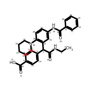 CCNC(=O)C(c1ccc(C(=O)O)cc1)c1cc(NC(=O)c2ccccc2)ccc1N1CCCCC1